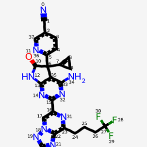 N#Cc1ccc(C2(C3=CC3)C(=O)Nc3nc(-c4cn5ncnc5c(CCCC(F)(F)F)n4)nc(N)c32)nc1